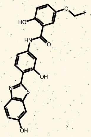 O=C(Nc1ccc(-c2nc3ccc(O)cc3s2)c(O)c1)c1cc(OCF)ccc1O